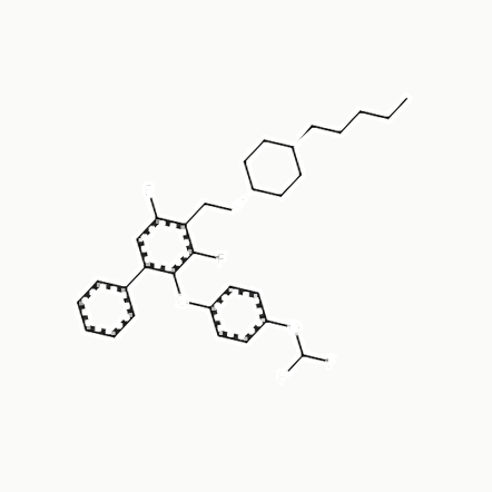 CCCCC[C@H]1CC[C@H](CCc2c(F)cc(-c3ccccc3)c(Oc3ccc(OC(F)F)cc3)c2F)CC1